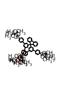 CC1(C)OB(c2ccc(-c3cc(-c4ccc(B5OC(C)(C)C(C)(C)O5)cc4)cc(C4(c5cc(-c6ccc(B7OC(C)(C)C(C)(C)O7)cc6)cc(-c6ccc(B7OC(C)(C)C(C)(C)O7)cc6)c5)c5ccccc5-c5ccccc54)c3)cc2)OC1(C)C